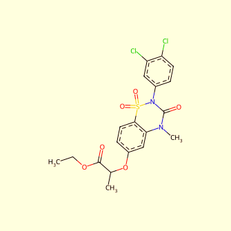 CCOC(=O)C(C)Oc1ccc2c(c1)N(C)C(=O)N(c1ccc(Cl)c(Cl)c1)S2(=O)=O